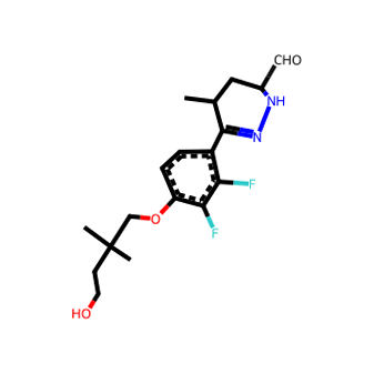 CC1CC(C=O)NN=C1c1ccc(OCC(C)(C)CCO)c(F)c1F